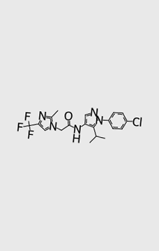 Cc1nc(C(F)(F)F)cn1CC(=O)Nc1cnn(-c2ccc(Cl)cc2)c1C(C)C